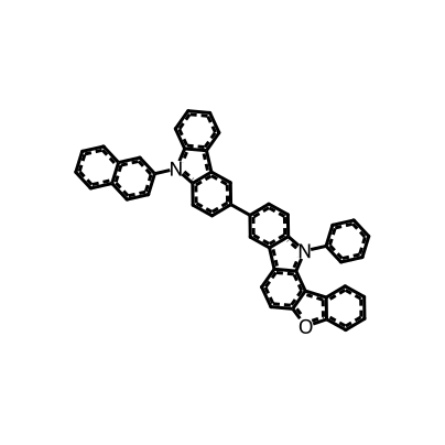 c1ccc(-n2c3ccc(-c4ccc5c(c4)c4ccccc4n5-c4ccc5ccccc5c4)cc3c3ccc4oc5ccccc5c4c32)cc1